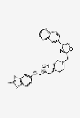 Cc1nc2cc(OC[C@H](O)CN3CCN(Cc4nc(-c5ccc6ccccc6c5)no4)CC3)ccc2s1